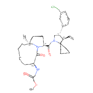 CC(C)(C)OC(=O)N[C@H]1CCCC[C@H]2CC[C@@H](C(=O)N3C[C@H](c4cccc(Cl)c4)[C@@H](C#N)C34CC4)N2C1=O